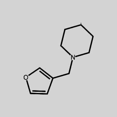 [CH]1CCN(Cc2ccoc2)CC1